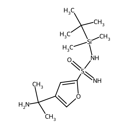 CC(C)(N)c1coc(S(=N)(=O)N[Si](C)(C)C(C)(C)C)c1